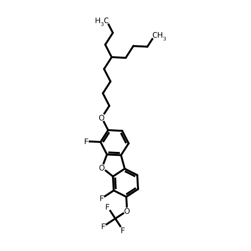 CCCCC(CCC)CCCCOc1ccc2c(oc3c(F)c(OC(F)(F)F)ccc32)c1F